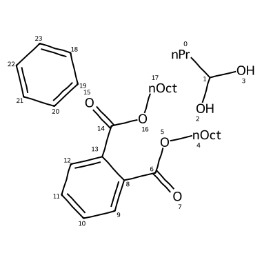 CCCC(O)O.CCCCCCCCOC(=O)c1ccccc1C(=O)OCCCCCCCC.c1ccccc1